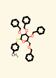 Cc1ccc(S[C@@H]2O[C@H](COCc3ccccc3)[C@H](OCc3ccccc3)[C@H](OCc3ccccc3)[C@H]2OCc2ccccc2)cc1